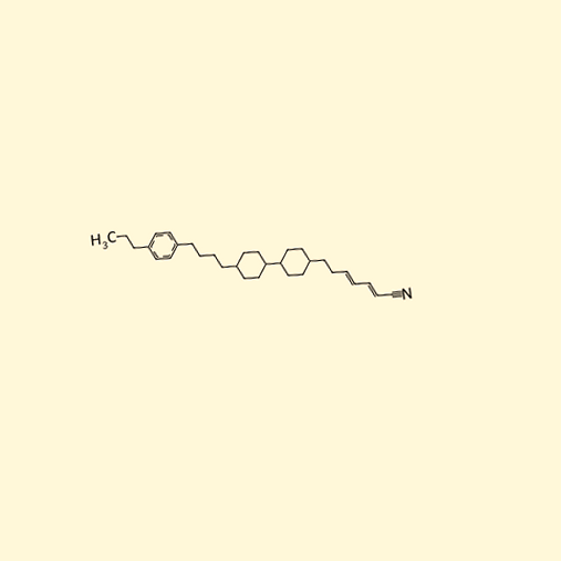 CCCc1ccc(CCCCC2CCC(C3CCC(CCC=CC=CC#N)CC3)CC2)cc1